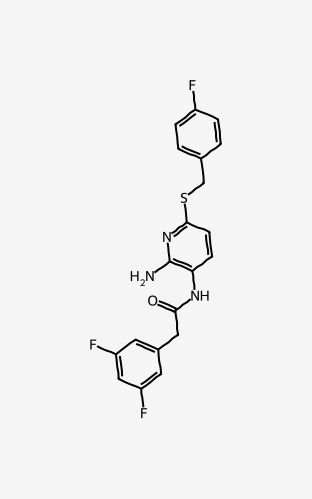 Nc1nc(SCc2ccc(F)cc2)ccc1NC(=O)Cc1cc(F)cc(F)c1